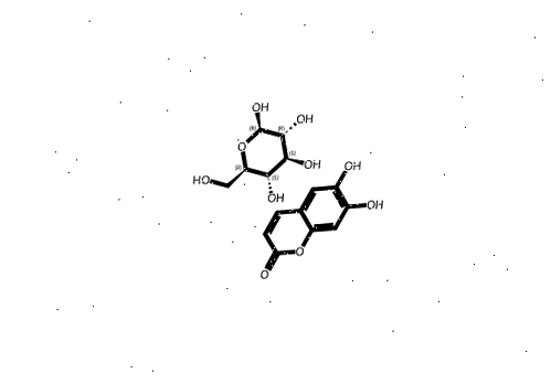 O=c1ccc2cc(O)c(O)cc2o1.OC[C@H]1O[C@@H](O)[C@H](O)[C@@H](O)[C@@H]1O